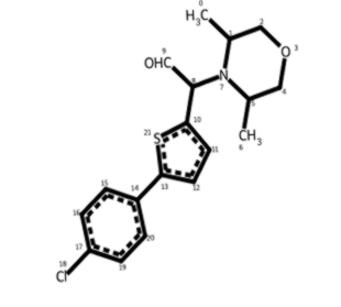 CC1COCC(C)N1C(C=O)c1ccc(-c2ccc(Cl)cc2)s1